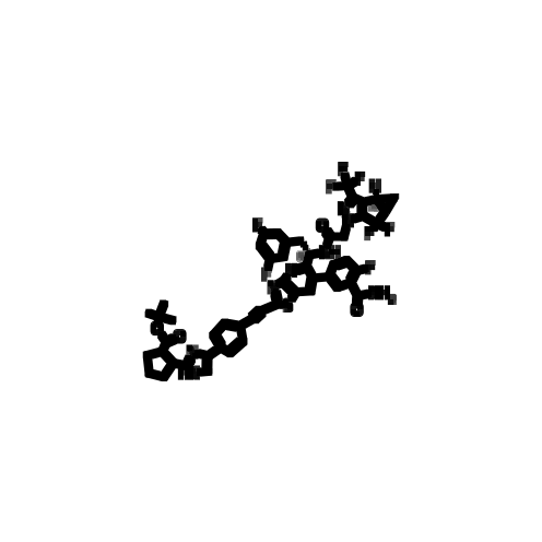 CC(C)(C)OC(=O)C1CCCC1c1nc(-c2ccc(C#Cc3nc4nc([C@H](Cc5cc(F)cc(F)c5)NC(=O)Cn5nc(C(F)(F)F)c6c5C(F)(F)C5C[C@H]65)c(-c5ccc(F)c(C(N)=O)c5)cc4s3)cc2)c[nH]1